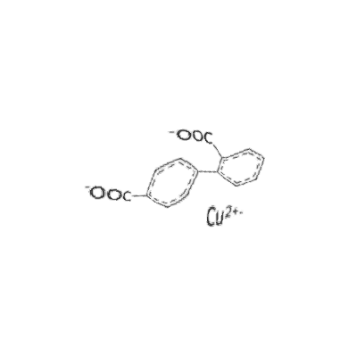 O=C([O-])c1ccc(-c2ccccc2C(=O)[O-])cc1.[Cu+2]